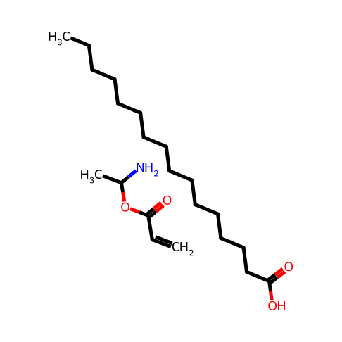 C=CC(=O)OC(C)N.CCCCCCCCCCCCCCCC(=O)O